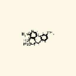 COCC(Cc1ccc(C)cc1)c1ccnc(N)c1N